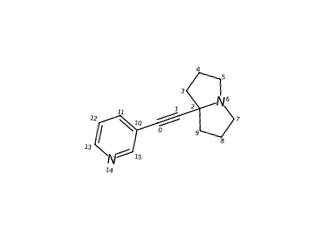 C(#CC12CCCN1CCC2)c1cccnc1